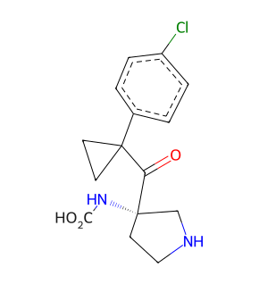 O=C(O)N[C@@]1(C(=O)C2(c3ccc(Cl)cc3)CC2)CCNC1